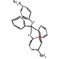 Nc1ccc(OC(Oc2ccc(N)cc2)(c2ccccc2)c2ccccc2)cc1